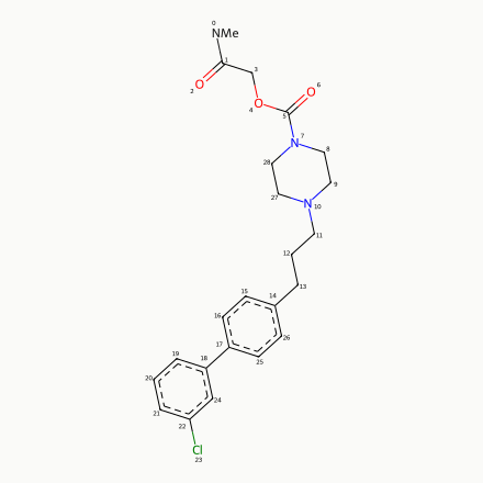 CNC(=O)COC(=O)N1CCN(CCCc2ccc(-c3cccc(Cl)c3)cc2)CC1